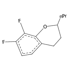 CCCC1CCc2ccc(F)c(F)c2O1